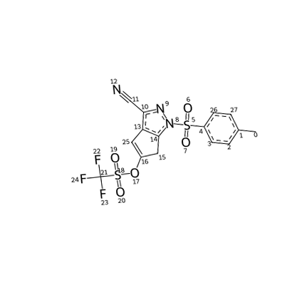 Cc1ccc(S(=O)(=O)n2nc(C#N)c3c2CC(OS(=O)(=O)C(F)(F)F)=C3)cc1